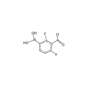 O=C(Cl)c1c(F)ccc(N(O)O)c1F